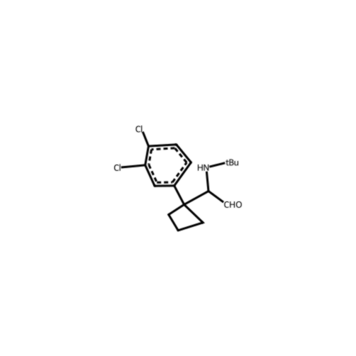 CC(C)(C)NC(C=O)C1(c2ccc(Cl)c(Cl)c2)CCC1